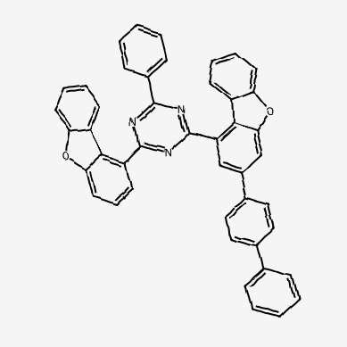 c1ccc(-c2ccc(-c3cc(-c4nc(-c5ccccc5)nc(-c5cccc6oc7ccccc7c56)n4)c4c(c3)oc3ccccc34)cc2)cc1